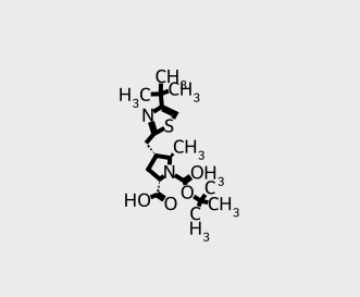 C[C@@H]1[C@@H](Cc2nc(C(C)(C)C)cs2)C[C@@H](C(=O)O)N1C(=O)OC(C)(C)C